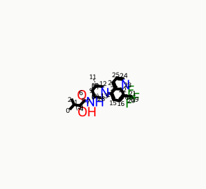 CC(C)[C@H](O)C(=O)N[C@@H]1C[C@H](C)CN(c2ccc(C(F)(F)F)c3ncccc23)C1